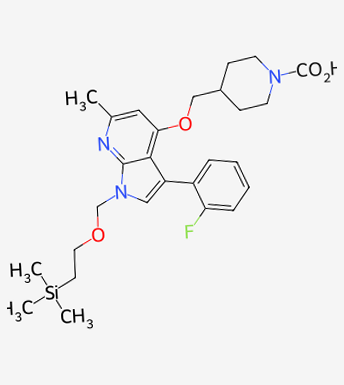 Cc1cc(OCC2CCN(C(=O)O)CC2)c2c(-c3ccccc3F)cn(COCC[Si](C)(C)C)c2n1